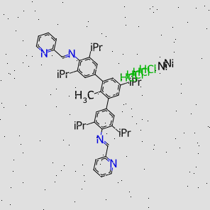 Cc1c(-c2cc(C(C)C)c(N=Cc3ccccn3)c(C(C)C)c2)cc(C(C)C)cc1-c1cc(C(C)C)c(N=Cc2ccccn2)c(C(C)C)c1.Cl.Cl.Cl.Cl.[Ni].[Ni]